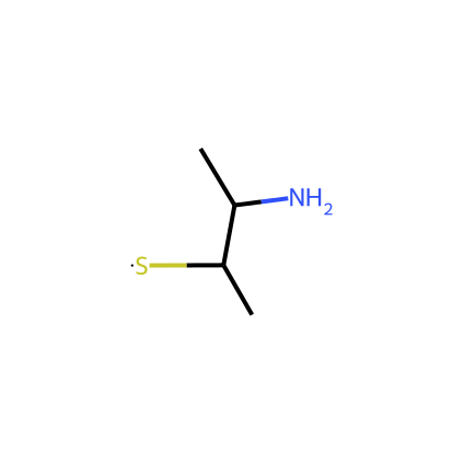 CC(N)C(C)[S]